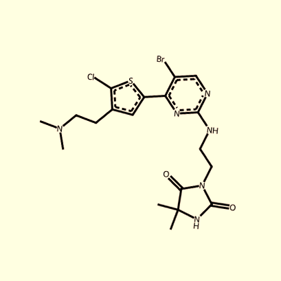 CN(C)CCc1cc(-c2nc(NCCN3C(=O)NC(C)(C)C3=O)ncc2Br)sc1Cl